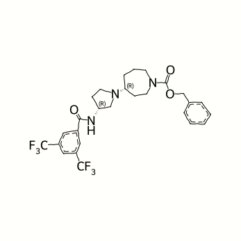 O=C(N[C@@H]1CCN([C@@H]2CCCN(C(=O)OCc3ccccc3)CC2)C1)c1cc(C(F)(F)F)cc(C(F)(F)F)c1